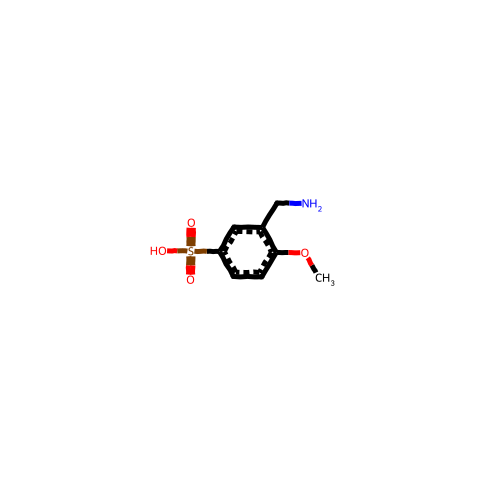 COc1ccc(S(=O)(=O)O)cc1CN